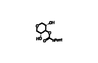 CCCCCC(=O)OC1[C@H](O)COC[C@@H]1O